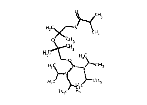 CC(C)C(=O)SCC(C)(C)OC(C)(C)COP(N(C(C)C)C(C)C)N(C(C)C)C(C)C